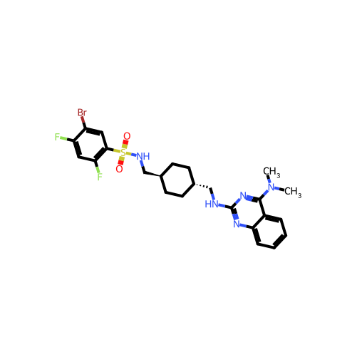 CN(C)c1nc(NC[C@H]2CC[C@H](CNS(=O)(=O)c3cc(Br)c(F)cc3F)CC2)nc2ccccc12